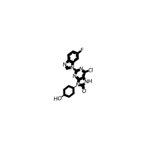 O=c1[nH]c2c(Cl)nc(-n3cnc4ccc(F)cc43)nc2n1[C@H]1CC[C@H](O)CC1